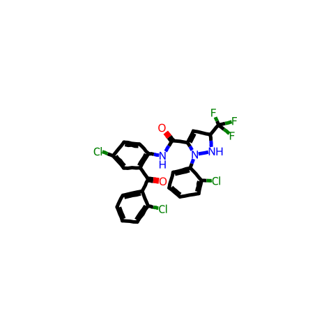 O=C(Nc1ccc(Cl)cc1C(=O)c1ccccc1Cl)C1=CC(C(F)(F)F)NN1c1ccccc1Cl